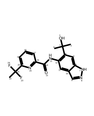 CC(C)(O)c1cc2[nH]ncc2cc1NC(=O)c1cccc(C(C)(F)F)n1